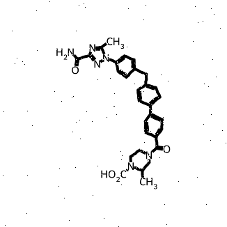 Cc1nc(C(N)=O)nn1-c1ccc(Cc2ccc(-c3ccc(C(=O)N4CCN(C(=O)O)C(C)C4)cc3)cc2)cc1